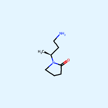 C[C@@H](CCN)N1CCCC1=O